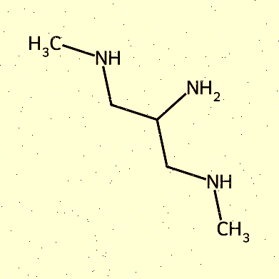 CNCC(N)CNC